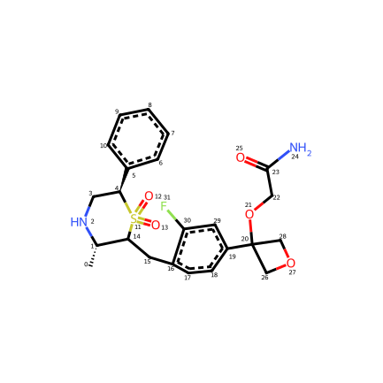 C[C@@H]1NC[C@@H](c2ccccc2)S(=O)(=O)C1Cc1ccc(C2(OCC(N)=O)COC2)cc1F